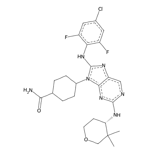 CC1(C)COCC[C@@H]1Nc1ncc2nc(Nc3c(F)cc(Cl)cc3F)n(C3CCC(C(N)=O)CC3)c2n1